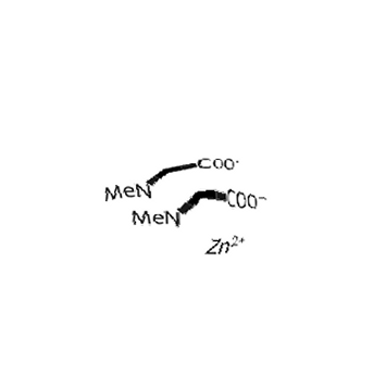 CNCC(=O)[O-].CNCC(=O)[O-].[Zn+2]